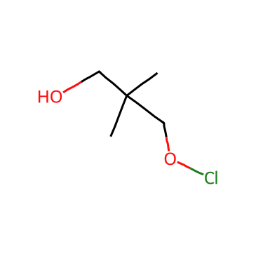 CC(C)(CO)COCl